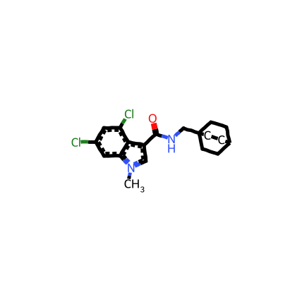 Cn1cc(C(=O)NCC23CCC(CC2)CC3)c2c(Cl)cc(Cl)cc21